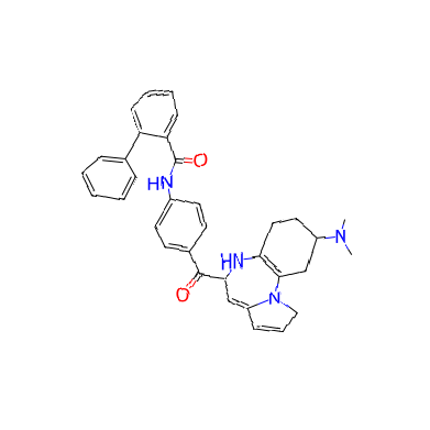 CN(C)C1CCC2=C(C1)N1CC=CC1=CC(C(=O)c1ccc(NC(=O)c3ccccc3-c3ccccc3)cc1)N2